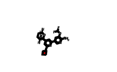 Nc1ncc(-c2cc(N3C[C@@H]4CC[C@H]3CO4)cc(N3CC4CC3C4)n2)cc1OC(F)F